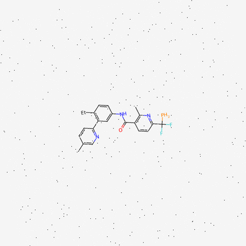 CCc1ccc(NC(=O)c2ccc(C(F)(F)P)nc2C)cc1-c1ccc(C)cn1